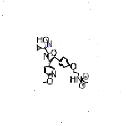 COc1ccc(-c2nc(/C(=N/O)C3CC3)oc2-c2ccc(OCCNS(C)(=O)=O)cc2)cn1